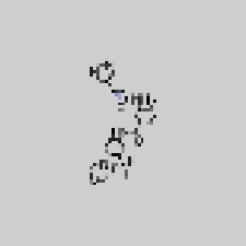 Cc1ccc(C(=O)Nc2ccc(N3CCOCC3)c(C(F)(F)F)c2)cc1NC(=O)/C=C/c1cncnc1